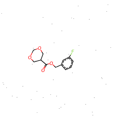 O=C(OCc1cccc(F)c1)C1COCOC1